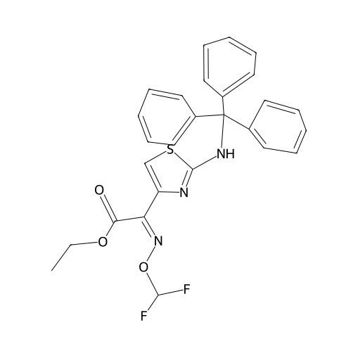 CCOC(=O)C(=NOC(F)F)c1csc(NC(c2ccccc2)(c2ccccc2)c2ccccc2)n1